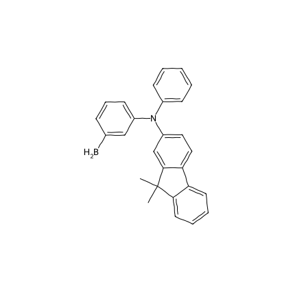 Bc1cccc(N(c2ccccc2)c2ccc3c(c2)C(C)(C)c2ccccc2-3)c1